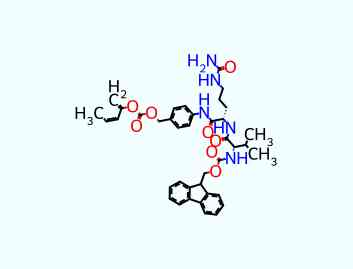 C=C(/C=C\C)OC(=O)OCc1ccc(NC(=O)[C@H](CCCNC(N)=O)NC(=O)[C@@H](NC(=O)OCC2c3ccccc3-c3ccccc32)C(C)C)cc1